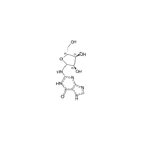 O=c1[nH]c(NC2O[C@H](CO)[C@@H](O)[C@H]2O)nc2nc[nH]c12